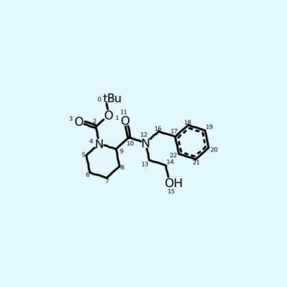 CC(C)(C)OC(=O)N1CCCCC1C(=O)N(CCO)Cc1ccccc1